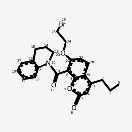 CCCc1cc(=O)oc2c(C(=O)N3CCCc4ccccc43)c(OCCBr)ccc12